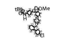 COC(=O)c1ccc(N2CCN(Cc3ccccc3-c3ccc(Cl)cc3)CC2)cc1Oc1ccc(NC(=O)OC(C)(C)C)cc1